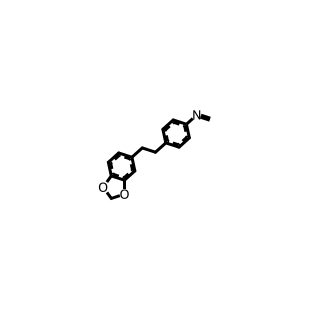 C=Nc1ccc(CCc2ccc3c(c2)OCO3)cc1